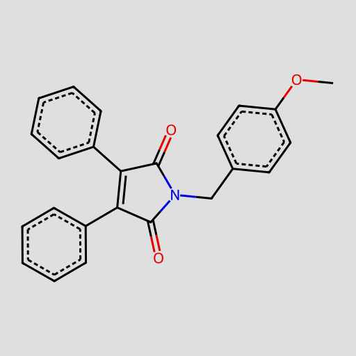 COc1ccc(CN2C(=O)C(c3ccccc3)=C(c3ccccc3)C2=O)cc1